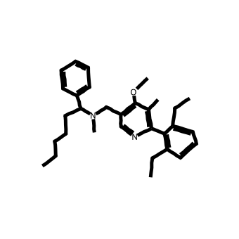 CCCCCC(c1ccccc1)N(C)Cc1cnc(-c2c(CC)cccc2CC)c(C)c1OC